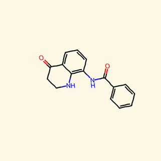 O=C(Nc1cccc2c1NCCC2=O)c1ccccc1